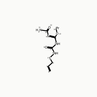 C=CCSNC(=O)NC(=NC(N)=O)OC(C)C